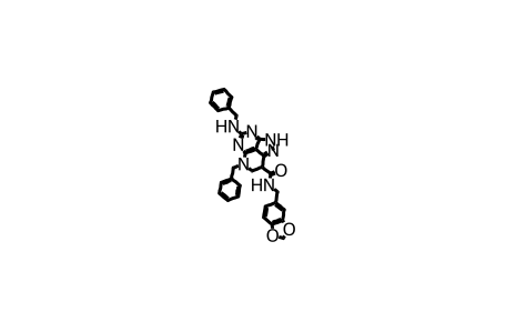 O=C(NCc1ccc2c(c1)OCO2)C1CN(Cc2ccccc2)c2nc(NCc3ccccc3)nc3[nH]nc1c23